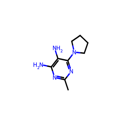 Cc1nc(N)c(N)c(N2CCCC2)n1